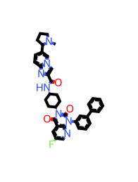 CN1CCCC1c1ccc2nc(C(=O)N[C@H]3CC[C@@H](n4c(=O)c5cc(F)cnc5n(-c5cccc(-c6ccccc6)c5)c4=O)CC3)cn2c1